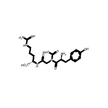 COC(=O)N(CC(=O)N[C@@H](CCCNC(=N)N)C(=O)O)C(=O)[C@@H](N)Cc1ccc(O)cc1